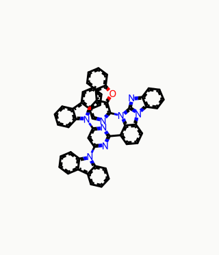 c1ccc2c(c1)nc1n(-c3nccc4c3oc3ccccc34)c3c(-c4nc(-n5c6ccccc6c6ccccc65)cc(-n5c6ccccc6c6ccccc65)n4)cccc3n21